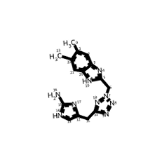 Cc1cc2nc(Cn3nnc(Cc4c[nH]c(N)n4)n3)[nH]c2cc1C